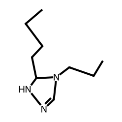 CCCCC1NN=CN1CCC